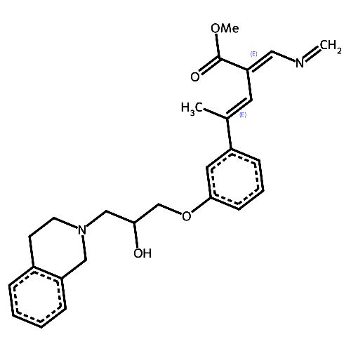 C=N/C=C(\C=C(/C)c1cccc(OCC(O)CN2CCc3ccccc3C2)c1)C(=O)OC